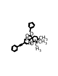 CN1C(=O)C(C(=O)OCc2ccccc2)(c2ncc(C#Cc3ccccc3)cn2)CCC1(C)C